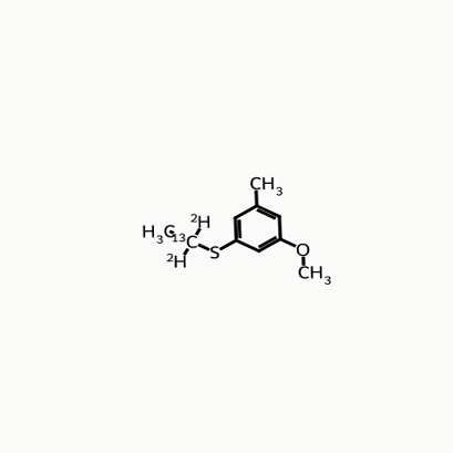 [2H][13C]([2H])(C)Sc1cc(C)cc(OC)c1